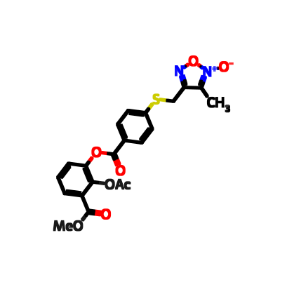 COC(=O)c1cccc(OC(=O)c2ccc(SCc3no[n+]([O-])c3C)cc2)c1OC(C)=O